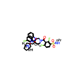 CCCNS(=O)(=O)c1ccc(F)c(C(=O)N2CCC(CCN3[C@@H]4CC[C@H]3CC(n3c(C)nc5ccccc53)C4)(c3cccc(F)c3)CC2)c1F